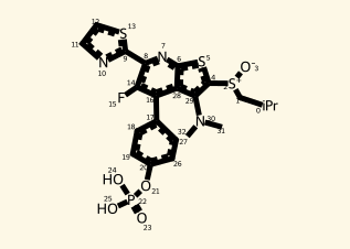 CC(C)C[S+]([O-])c1sc2nc(-c3nccs3)c(F)c(-c3ccc(OP(=O)(O)O)cc3)c2c1N(C)C